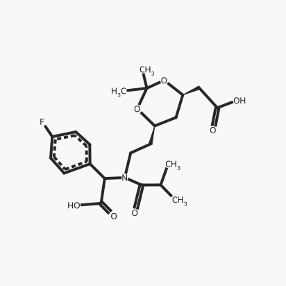 CC(C)C(=O)N(CC[C@@H]1C[C@H](CC(=O)O)OC(C)(C)O1)C(C(=O)O)c1ccc(F)cc1